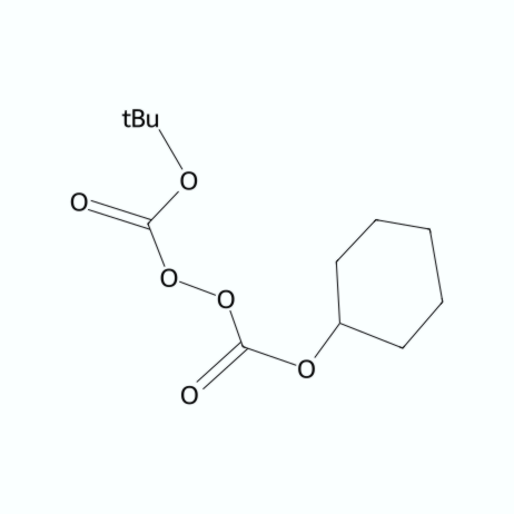 CC(C)(C)OC(=O)OOC(=O)OC1CCCCC1